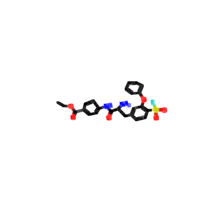 CCOC(=O)c1ccc(NC(=O)C(N)Cc2ccc(S(=O)(=O)F)c(Oc3ccccc3)c2)cc1